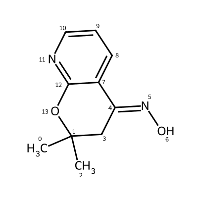 CC1(C)C/C(=N\O)c2cccnc2O1